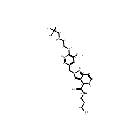 Cc1cc(Cn2cc3c(C(=O)NCCCO)nccc3n2)cnc1OCCOCC(F)(F)F